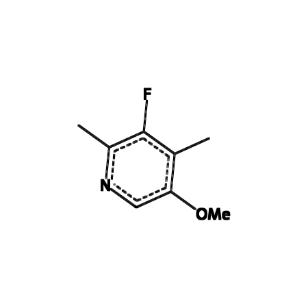 COc1cnc(C)c(F)c1C